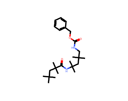 CC(C)(C)CC(C)(C)C(=O)NC(C)(C)CC(C)(C)CNC(=O)OCc1ccccc1